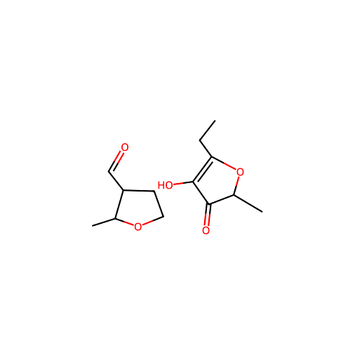 CC1OCCC1C=O.CCC1=C(O)C(=O)C(C)O1